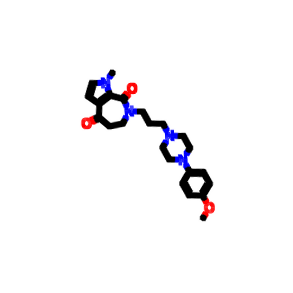 COc1ccc(N2CCN(CCCN3CCC(=O)c4ccn(C)c4C3=O)CC2)cc1